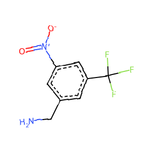 NCc1cc([N+](=O)[O-])cc(C(F)(F)F)c1